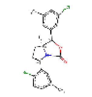 Cc1ccc(Br)c([C@@H]2CC[C@H]3[C@@H](c4cc(Cl)cc(C(F)(F)F)c4)OC(=O)N23)c1